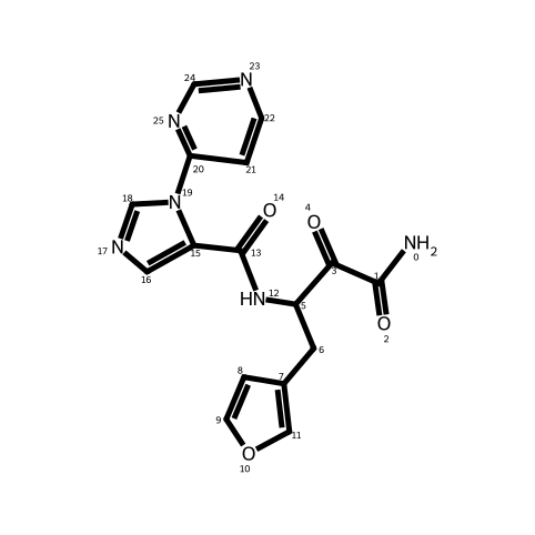 NC(=O)C(=O)C(Cc1ccoc1)NC(=O)c1cncn1-c1ccncn1